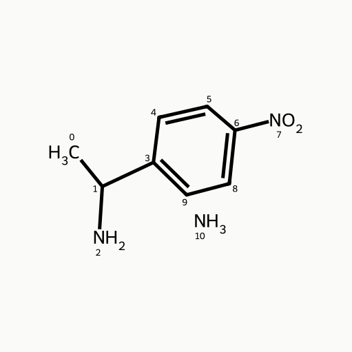 CC(N)c1ccc([N+](=O)[O-])cc1.N